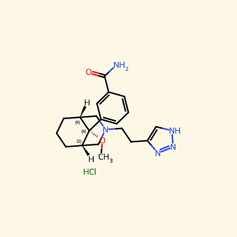 CO[C@@]1(c2cccc(C(N)=O)c2)[C@@H]2CCC[C@H]1CN(CCc1c[nH]nn1)C2.Cl